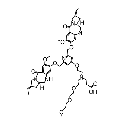 C/C=C1\C[C@H]2CNc3cc(OCc4cc(OCCN(CCOCCOCCOC)CCC(=O)O)cc(COc5cc6c(cc5OC)C(=O)N5C/C(=C/C)C[C@H]5C=N6)n4)c(OC)cc3C(=O)N2C1